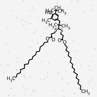 CCCCCCCCCCCCCCCCCCOC(=O)CCSC(SCCC(=O)OCCCCCCCCCCCCCCCCCC)C(C)(C)Cc1cc(C)c(O)c(C(C)(C)C)c1